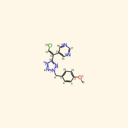 COc1ccc(Cn2nnc(C(=CCl)c3cncnc3)n2)cc1